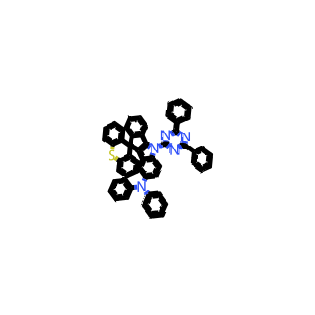 c1ccc(-c2nc(-c3ccccc3)nc(-n3c4c(c5cc(N(c6ccccc6)c6ccccc6)ccc53)C3(c5ccccc5Sc5ccccc53)c3ccccc3-4)n2)cc1